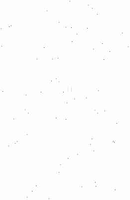 N#CCC1=NC=C[SH]1#N